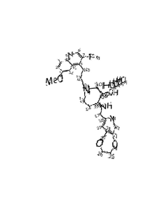 COc1ccc2ncc(F)c(CCN3CC[C@H](NCc4cc5c(cn4)OCCO5)[C@H](O)C3)c2c1.Cl.Cl.Cl.Cl